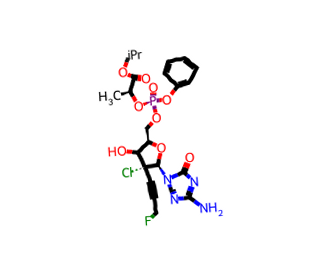 CC(C)OC(=O)[C@H](C)O[P@](=O)(OC[C@H]1O[C@@H](n2cnc(N)nc2=O)[C@@](Cl)(C#CCF)C1O)Oc1ccccc1